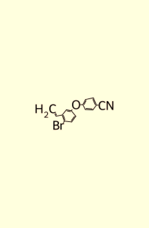 C=Cc1cc(Oc2ccc(C#N)cc2)ccc1Br